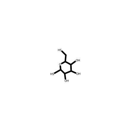 OC1C(S)OC(CS)C(O)C1O